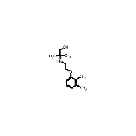 Cc1cccc(OCCNC(C)(C)CO)c1C